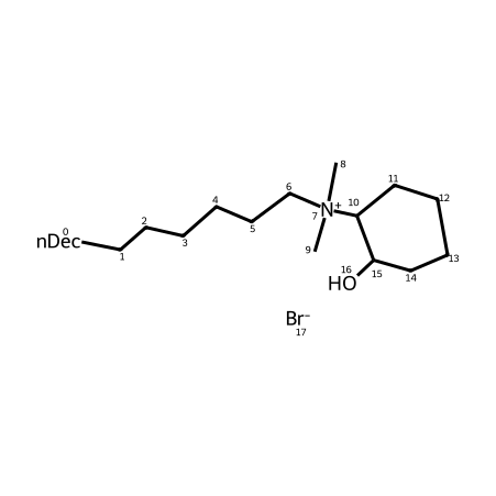 CCCCCCCCCCCCCCCC[N+](C)(C)C1CCCCC1O.[Br-]